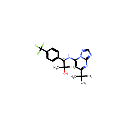 CC(C)(C)c1cc(N[C@H](c2ccc(C(F)(F)F)cc2)C(C)(C)O)n2ncnc2n1